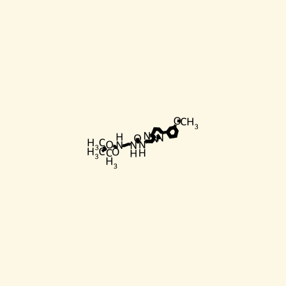 COc1cccc(-c2ccc3nc(NC(=O)NCCNC(=O)OC(C)(C)C)cn3n2)c1